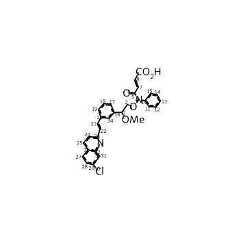 COC(CON(C(=O)C=CC(=O)O)c1ccccc1)c1cccc(/C=C/c2ccc3ccc(Cl)cc3n2)c1